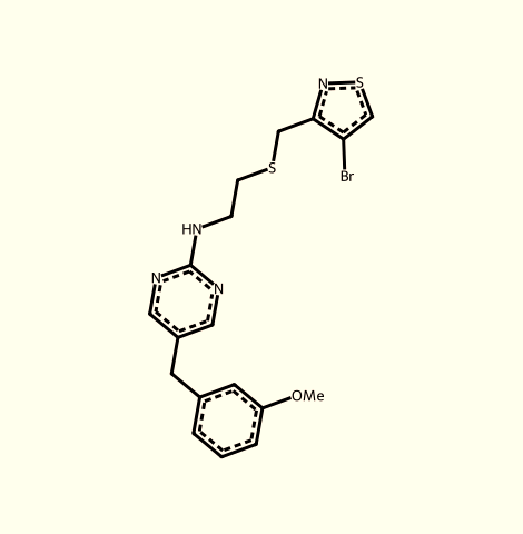 COc1cccc(Cc2cnc(NCCSCc3nscc3Br)nc2)c1